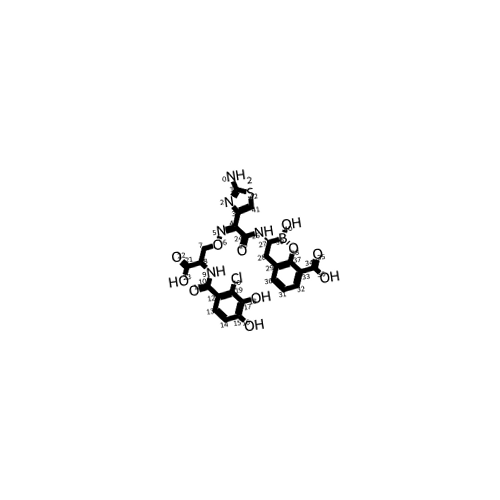 Nc1nc(/C(=N/OCC(NC(=O)c2ccc(O)c(O)c2Cl)C(=O)O)C(=O)N[C@H]2Cc3cccc(C(=O)O)c3OB2O)cs1